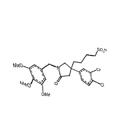 COc1cc(CN2CC(CCCCS(=O)(=O)O)(c3ccc(Cl)c(Cl)c3)CC2=O)cc(OC)c1OC